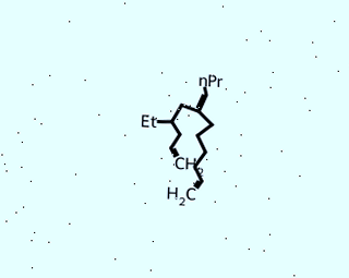 C=CCCCCC(=CCCC)CC(CC)CC=C